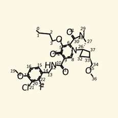 CCCCOc1c2n(cc(C(=O)NCc3ccc(OC)c(Cl)c3F)c1=O)[C@]1(CN(C)C2=O)C[C@H](COC)C1